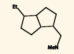 CCC1CCC2C(CNC)CCC12